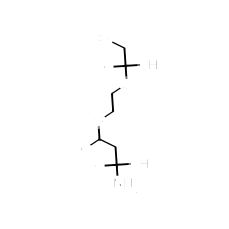 CC(C)CC(C)(C)OCCOC(C)CC(C)(C)N